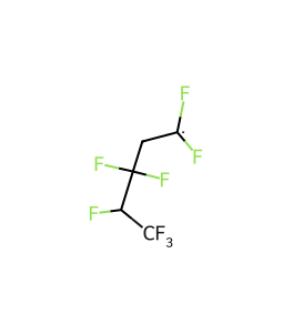 F[C](F)CC(F)(F)C(F)C(F)(F)F